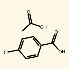 CC(=O)O.O=C(O)c1ccc(Cl)cc1